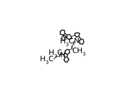 CCC/C=C(\C)n1c2ccccc2c2cc(/C(C)=C/C=C(\C)n3c4ccccc4c4cccc(-c5ccc6oc7ccccc7c6c5)c43)ccc21